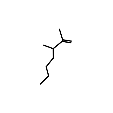 [CH]=C(C)C(C)CCCC